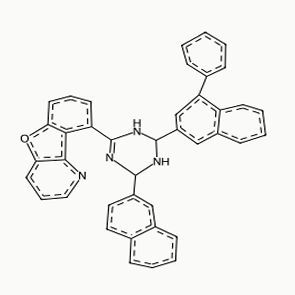 c1ccc(-c2cc(C3NC(c4cccc5oc6cccnc6c45)=NC(c4ccc5ccccc5c4)N3)cc3ccccc23)cc1